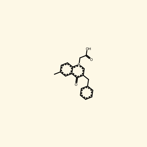 Cc1ccc2c(c1)c(=O)c(Cc1ccccc1)cn2CC(=O)O